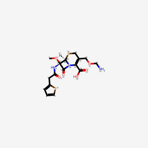 CO[C@@]1(NC(=O)Cc2cccs2)C(=O)N2C(C(=O)O)=C(COCN)CS[C@@H]21